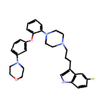 Fc1ccc2[nH]cc(CCCN3CCN(c4ccccc4Oc4cccc(N5CCOCC5)c4)CC3)c2c1